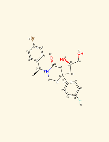 C[C@@H](c1ccc(Br)cc1)N1CC[C@](C[C@@H](O)CO)(c2ccc(F)cc2)CC1=O